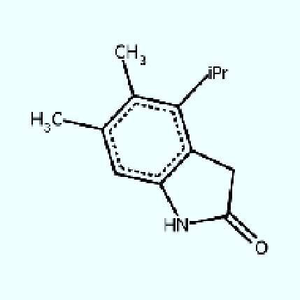 Cc1cc2c(c(C(C)C)c1C)CC(=O)N2